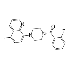 Cc1ccc(N2CCN(C(=O)c3ccccc3F)CC2)c2ncccc12